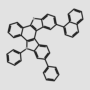 c1ccc(-c2ccc3c4c5c6cc(-c7cccc8ccccc78)ccc6sc5c5ccccc5c4n(-c4ccccc4)c3c2)cc1